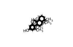 Cc1cc(O)cc2c1[C@]1(C)CC[C@H]3C(C)(C)CCC[C@]3(C)[C@H]1CO2